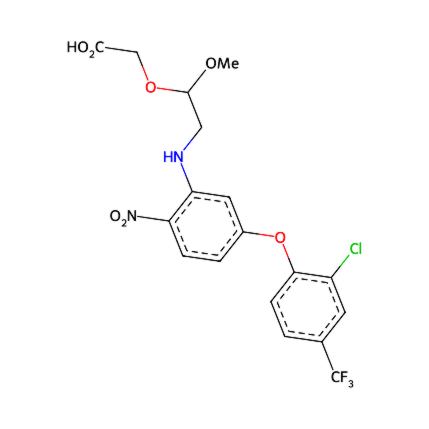 COC(CNc1cc(Oc2ccc(C(F)(F)F)cc2Cl)ccc1[N+](=O)[O-])OCC(=O)O